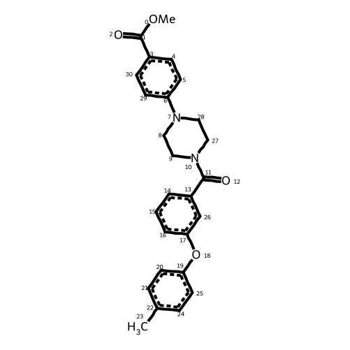 COC(=O)c1ccc(N2CCN(C(=O)c3cccc(Oc4ccc(C)cc4)c3)CC2)cc1